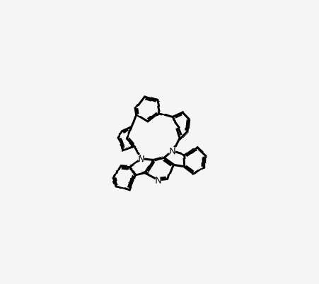 c1cc2cc(c1)c1cccc(c1)n1c3ccccc3c3ncc4c5ccccc5n(c5cccc2c5)c4c31